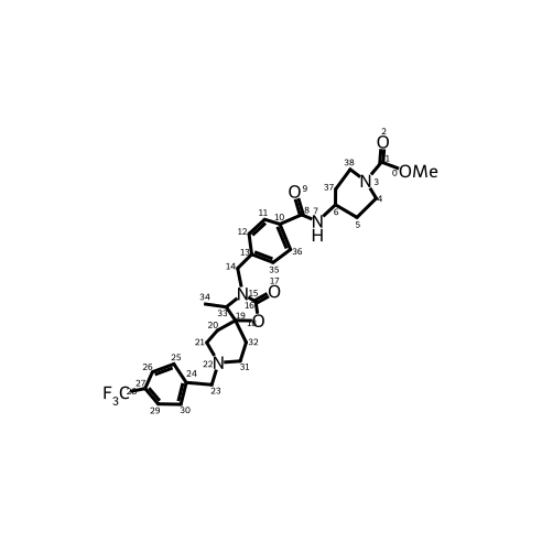 COC(=O)N1CCC(NC(=O)c2ccc(CN3C(=O)OC4(CCN(Cc5ccc(C(F)(F)F)cc5)CC4)C3C)cc2)CC1